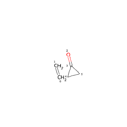 C=C.O=C1CC1